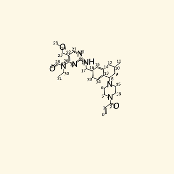 C=CC(=O)N1CCN(C(CC(C)C)c2ccc(CNc3ncc(COC)c(N(C=O)CC)n3)cc2)CC1